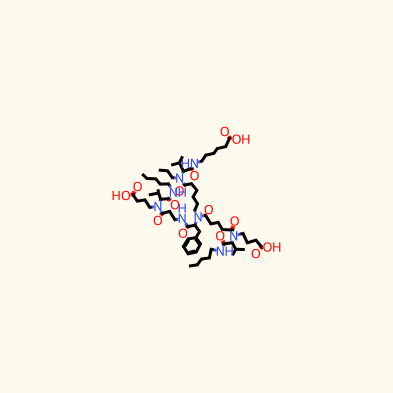 CCCCCNC(=O)C(C(C)C)N(CCCC(=O)O)C(=O)CCCC(=O)N(CCCCCC(=O)N(CCC)C(C(=O)NCCCCCC(=O)O)C(C)C)C(Cc1ccccc1)C(=O)NCCC(=O)N(CCCC(=O)O)C(C(=O)NCCCCC)C(C)C